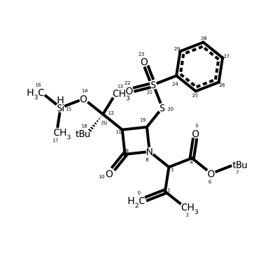 C=C(C)C(C(=O)OC(C)(C)C)N1C(=O)C([C@](C)(O[SiH](C)C)C(C)(C)C)C1SS(=O)(=O)c1ccccc1